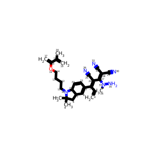 C=C/C(C1=CC2CC(C)(C)N(CCCCOC(=C)C(=C)C)C2C=C1)=C(/C#N)C(=C(C#N)C#N)N(C)N